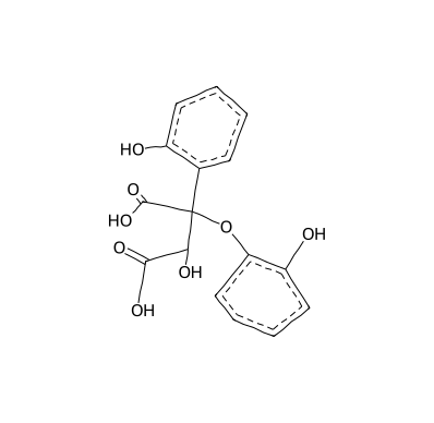 O=C(O)C(O)C(Oc1ccccc1O)(C(=O)O)c1ccccc1O